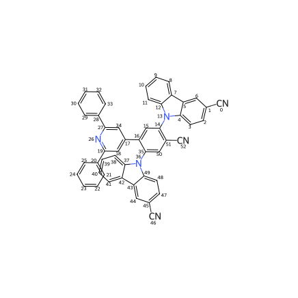 N#Cc1ccc2c(c1)c1ccccc1n2-c1cc(-c2cc(-c3ccccc3)nc(-c3ccccc3)c2)c(-n2c3ccccc3c3cc(C#N)ccc32)cc1C#N